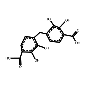 O=C(O)c1ccc(Cc2ccc(C(=O)O)c(O)c2O)c(O)c1O